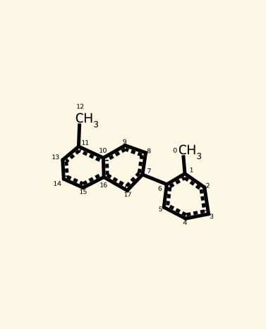 Cc1ccccc1-c1ccc2c(C)cccc2c1